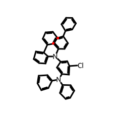 Clc1cc(N(c2ccccc2)c2ccccc2)cc(N(c2ccc(-c3ccccc3)cc2)c2ccccc2-c2ccccc2)c1